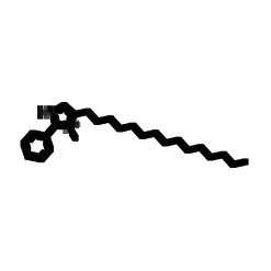 CCCCCCCCCCCCCCCc1c[nH]c(-c2ccccc2)[n+]1C